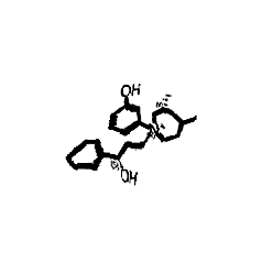 CC1CC[N@+](CC[C@H](O)c2ccccc2)(c2cccc(O)c2)C[C@@H]1C